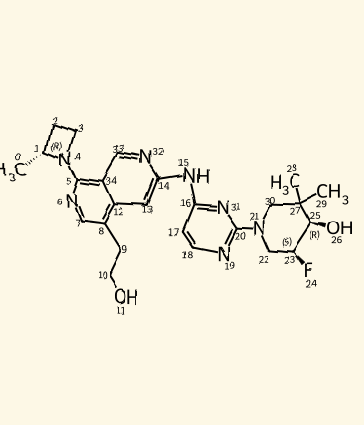 C[C@@H]1CCN1c1ncc(CCO)c2cc(Nc3ccnc(N4C[C@H](F)[C@H](O)C(C)(C)C4)n3)ncc12